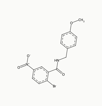 COc1ccc(CNC(=O)c2cc([N+](=O)[O-])ccc2Br)cc1